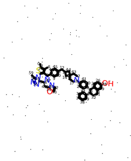 Cc1sc2c(c1C)C(c1ccc(CC3CC4(CCN(c5ccc([C@@H]6c7ccc(O)cc7CC[C@@H]6c6ccccc6)cc5)CC4)C3)cc1)=N[C@@H](Cc1ncco1)c1nnc(C)n1-2